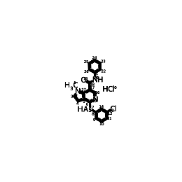 Cl.Cn1ccc2c([AsH]c3cccc(Cl)c3)ncc(C(=O)Nc3ccccc3)c21